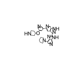 c1ncc(-c2cc3c(-c4nc5c(N6CCCCC6)cncc5[nH]4)n[nH]c3cn2)cc1OC1CCNCC1